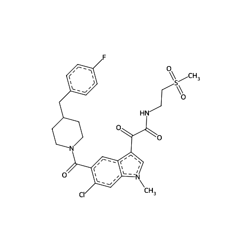 Cn1cc(C(=O)C(=O)NCCS(C)(=O)=O)c2cc(C(=O)N3CCC(Cc4ccc(F)cc4)CC3)c(Cl)cc21